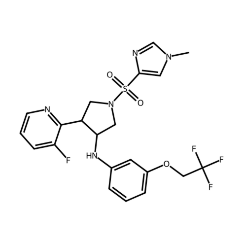 Cn1cnc(S(=O)(=O)N2CC(Nc3cccc(OCC(F)(F)F)c3)C(c3ncccc3F)C2)c1